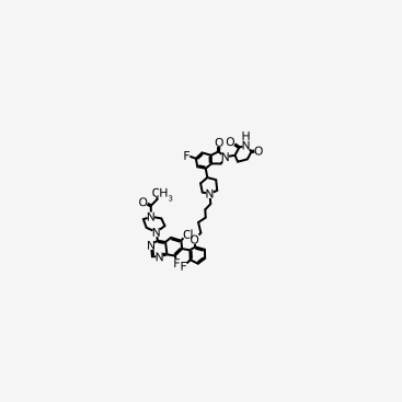 CCC(=O)N1CCN(c2ncnc3c(F)c(-c4c(F)cccc4OCCCCCN4CCC(c5cc(F)cc6c5CN(C5CCC(=O)NC5=O)C6=O)CC4)c(Cl)cc23)CC1